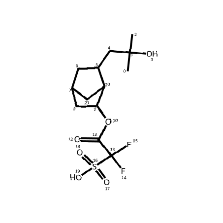 CC(C)(O)CC1CC2CC(OC(=O)C(F)(F)S(=O)(=O)O)C1C2